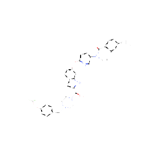 CN(C(=O)c1ccc(C(F)(F)F)cc1)c1ccc(Oc2ccc3cc(C(=O)N4CCN(Cc5ccc(OC(F)F)cc5)CC4)n(C)c3c2)nc1